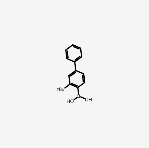 CC(C)(C)c1cc(-c2ccccc2)ccc1B(O)O